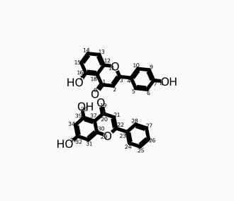 O=c1cc(-c2ccc(O)cc2)oc2cccc(O)c12.O=c1cc(-c2ccccc2)oc2cc(O)cc(O)c12